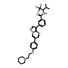 CC(C)C(NC(=O)c1cccc(-c2cnn3cc(-c4ccc(OCCN5CCCCC5)cc4)cnc23)c1)C(F)(F)F